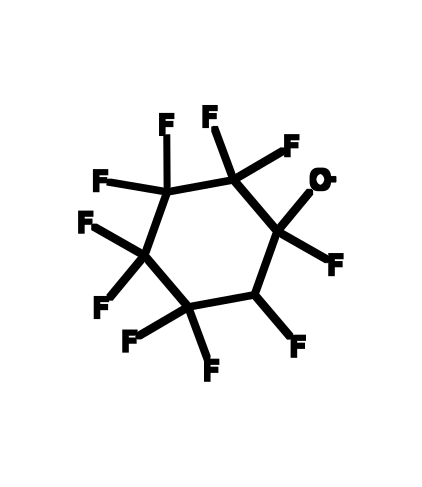 [O]C1(F)C(F)C(F)(F)C(F)(F)C(F)(F)C1(F)F